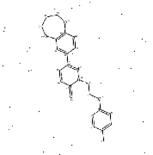 Cc1ccc(OCCn2nc(-c3ccc4c(c3)OCCCO4)ccc2=O)cc1